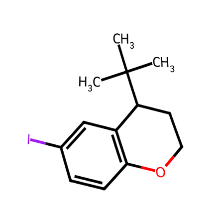 CC(C)(C)C1CCOc2ccc(I)cc21